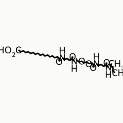 CC(CCC=O)NC(=O)CCCNC(=O)COCCOCCNC(=O)CCCNC(=O)CCCCCCCCCCCCCCCCC(=O)O